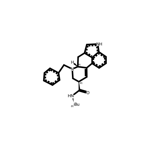 CC[C@@H](C)NC(=O)[C@@H]1C=C2c3cccc4[nH]cc(c34)C[C@H]2N(Cc2ccccc2)C1